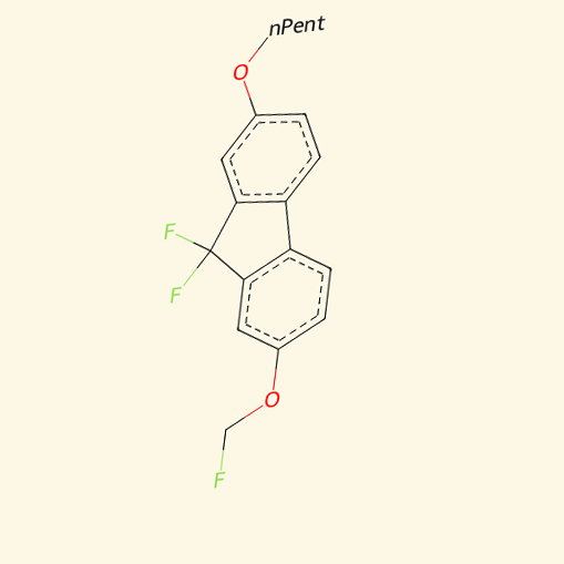 CCCCCOc1ccc2c(c1)C(F)(F)c1cc(OCF)ccc1-2